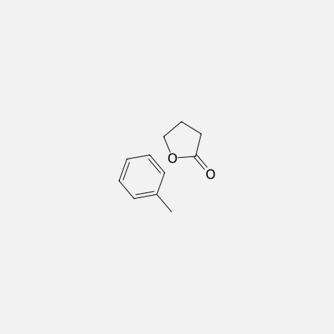 Cc1ccccc1.O=C1CCCO1